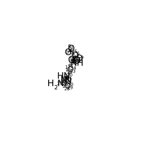 COC(=O)c1ccc(OC)c(S(=O)(=O)NC[C@H]2CC[C@H](CNc3nc(N)c4ccccc4n3)CC2)c1